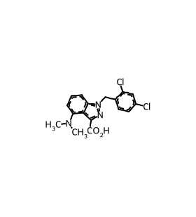 CN(C)c1cccc2c1c(C(=O)O)nn2Cc1ccc(Cl)cc1Cl